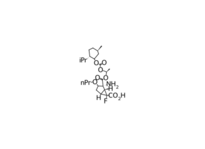 CCCO[C@@H]1C[C@@H]2[C@H]([C@]1(N)C(=O)O[C@H](C)OC(=O)O[C@@H]1C[C@H](C)CC[C@H]1C(C)C)[C@@]2(F)C(=O)O